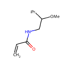 C=CC(=O)NCC(OC)C(C)C